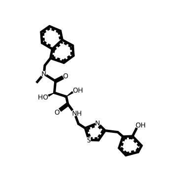 CN(Cc1cccc2ccccc12)C(=O)[C@H](O)[C@@H](O)C(=O)NCc1nc(Cc2ccccc2O)cs1